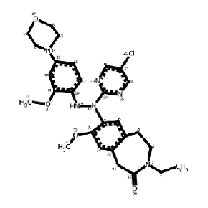 CCN1CCc2cc(N(Nc3ccc(N4CCOCC4)cc3OC)c3ncc(Cl)cn3)c(OC)cc2CC1=O